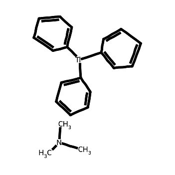 CN(C)C.c1cc[c]([Tl]([c]2ccccc2)[c]2ccccc2)cc1